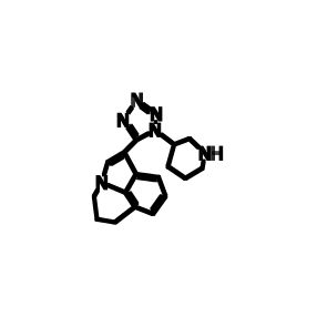 c1cc2c3c(c1)c(-c1nnnn1C1CCCNC1)cn3CCC2